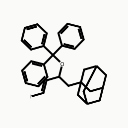 IC=CC(CC12CC3CC(CC(C3)C1)C2)OC(c1ccccc1)(c1ccccc1)c1ccccc1